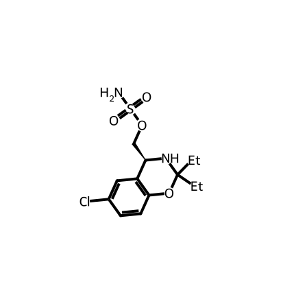 CCC1(CC)N[C@H](COS(N)(=O)=O)c2cc(Cl)ccc2O1